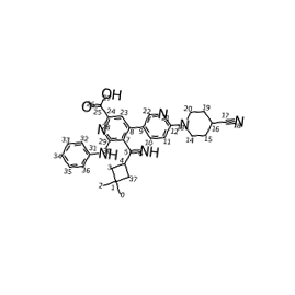 CC1(C)CC(C(=N)c2c(-c3ccc(N4CCC(C#N)CC4)nc3)cc(C(=O)O)nc2Nc2ccccc2)C1